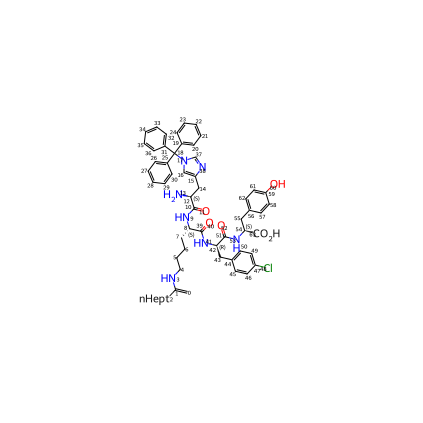 C=C(CCCCCCC)NCCCC[C@H](NC(=O)[C@@H](N)Cc1cn(C(c2ccccc2)(c2ccccc2)c2ccccc2)cn1)C(=O)N[C@H](Cc1ccc(Cl)cc1)C(=O)N[C@@H](Cc1ccc(O)cc1)C(=O)O